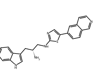 N[C@@H](CNc1ncc(-c2ccc3cnccc3c2)s1)Cc1c[nH]c2ccccc12